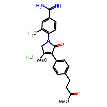 COC(=O)CCc1ccc(C2=C(OC)CN(c3ccc(C(=N)N)cc3C)C2=O)cc1.Cl